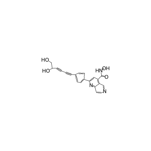 O=C(NO)c1cc(-c2ccc(C#CC#CC(O)CO)cc2)nc2ccncc12